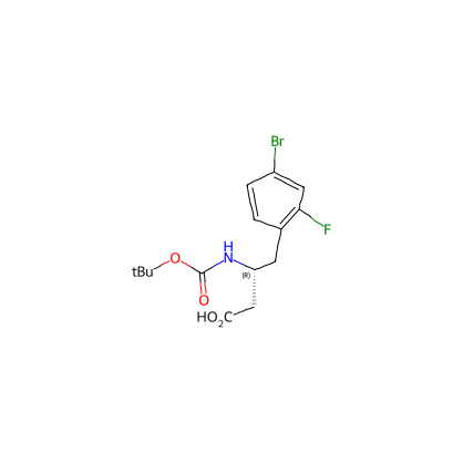 CC(C)(C)OC(=O)N[C@@H](CC(=O)O)Cc1ccc(Br)cc1F